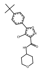 CC(C)(C)c1ccc(-c2onc(C(=O)NC3CCOCC3)c2Cl)cc1